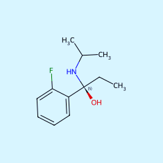 CC[C@@](O)(NC(C)C)c1ccccc1F